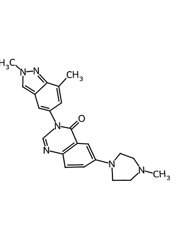 Cc1cc(-n2cnc3ccc(N4CCN(C)CC4)cc3c2=O)cc2cn(C)nc12